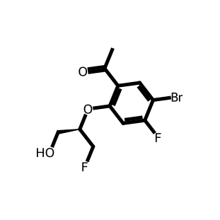 CC(=O)c1cc(Br)c(F)cc1O[C@H](CO)CF